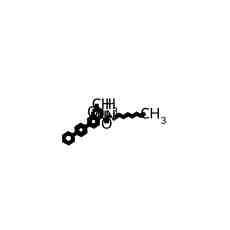 CCCCCCCCNC(=O)N1CC(C)Oc2cc(-c3ccc(C4CCCCC4)cc3)ccc21